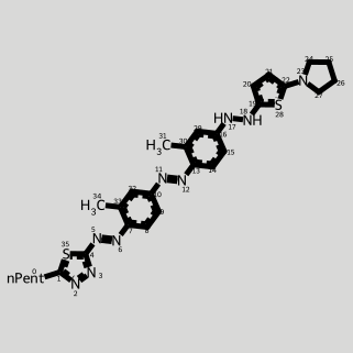 CCCCCc1nnc(/N=N/c2ccc(/N=N/c3ccc(NNc4ccc(N5CCCC5)s4)cc3C)cc2C)s1